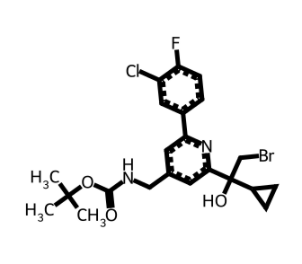 CC(C)(C)OC(=O)NCc1cc(-c2ccc(F)c(Cl)c2)nc(C(O)(CBr)C2CC2)c1